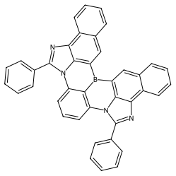 c1ccc(-c2nc3c4ccccc4cc4c3n2-c2cccc3c2B4c2cc4ccccc4c4nc(-c5ccccc5)n-3c24)cc1